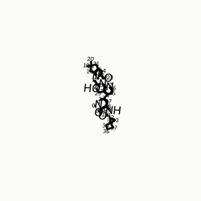 Cn1cc(-c2ccnc(N3CCn4c(cc5c4CC(C)(C)C5)C3=O)c2CO)cc(NC(=O)[C@@H]2CC23CCC3)c1=O